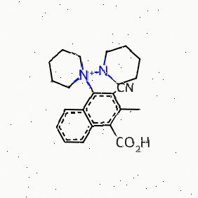 Cc1c(C#N)c([N+]2(N3CCCCC3)CCCCC2)c2ccccc2c1C(=O)O